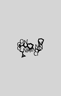 Cn1c(=O)c2c(c3cc(Nc4nc(N5C6CCCC5CC6)ncc4Cl)ccc31)NC(C1CC1)COC2=O